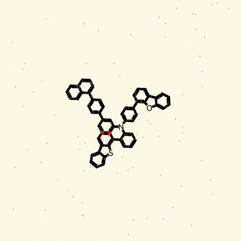 c1cc(-c2ccc(-c3cccc4ccccc34)cc2)cc(N(c2ccc(-c3cccc4c3oc3ccccc34)cc2)c2ccccc2-c2cccc3c2sc2ccccc23)c1